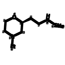 CCN1CCO[C@@H](CCNSC)C1